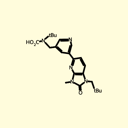 Cn1c(=O)n(CC(C)(C)C)c2ccc(-c3cncc(CN(C(=O)O)C(C)(C)C)c3)nc21